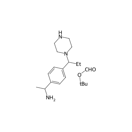 CC(C)(C)OC=O.CCC(c1ccc(C(C)N)cc1)N1CCNCC1